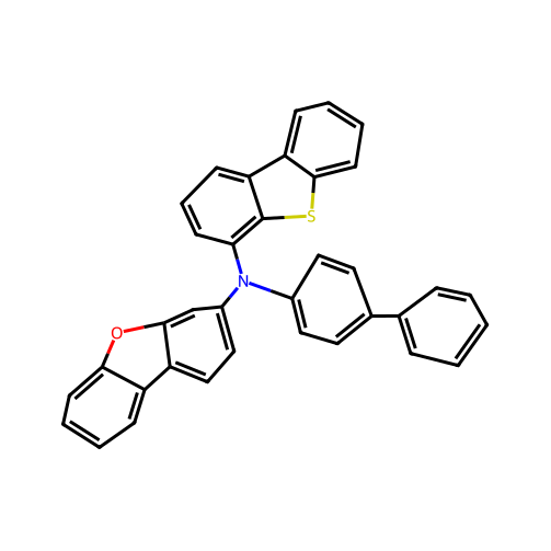 c1ccc(-c2ccc(N(c3ccc4c(c3)oc3ccccc34)c3cccc4c3sc3ccccc34)cc2)cc1